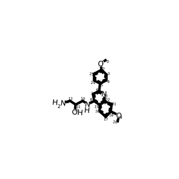 COc1ccc(-c2cc(NCC(O)CN)c3ccc(OC)cc3n2)cc1